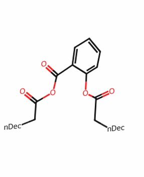 CCCCCCCCCCCC(=O)OC(=O)c1ccccc1OC(=O)CCCCCCCCCCC